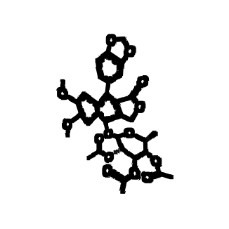 COc1cc2c(OC3O[C@@H](C)[C@@H](OC(C)=O)[C@@H](OC(C)=O)[C@@H]3OC(C)=O)c3c(c(-c4ccc5c(c4)OCO5)c2cc1OC)C(=O)OC3